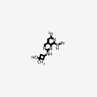 [2H]c1cc2cnc(NC3CC(C)(O)C3)nc2c(NC(C)C)n1